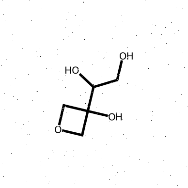 OC[C](O)C1(O)COC1